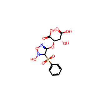 O=C(O)[C@H](O)[C@@H](OC1=NON(O)C1S(=O)(=O)c1ccccc1)C(=O)O